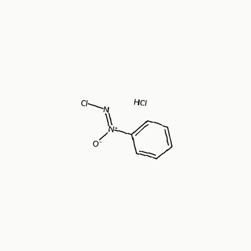 Cl.[O-][N+](=NCl)c1ccccc1